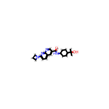 CC(C)(O)C1CCC(NC(=O)c2cnc3nc(N4CCC4)ccc3c2)CC1